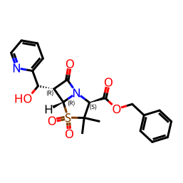 CC1(C)[C@H](C(=O)OCc2ccccc2)N2C(=O)[C@@H](C(O)c3ccccn3)[C@H]2S1(=O)=O